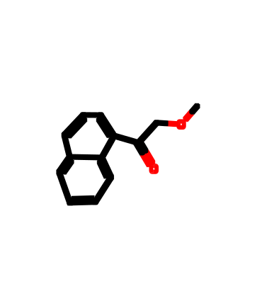 COCC(=O)c1cccc2ccccc12